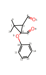 CC1(C)C([C]=O)C1([C]=O)Oc1ccccc1